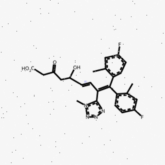 Cc1cc(F)ccc1C(=C(/C=C/C(O)CC(=O)CC(=O)O)c1nnnn1C)c1ccc(F)cc1C